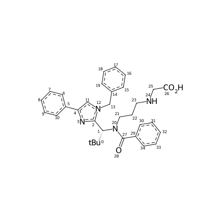 CC(C)(C)[C@H](c1nc(-c2ccccc2)cn1Cc1ccccc1)N(CCCNCC(=O)O)C(=O)c1ccccc1